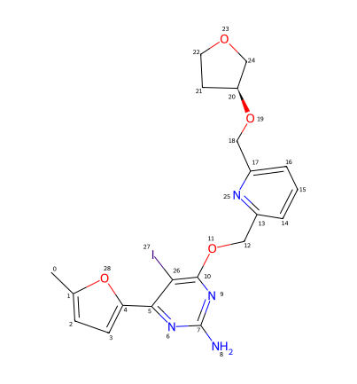 Cc1ccc(-c2nc(N)nc(OCc3cccc(CO[C@H]4CCOC4)n3)c2I)o1